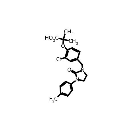 CC(C)(Oc1ccc(CN2CCN(c3ccc(C(F)(F)F)cc3)C2=O)cc1Cl)C(=O)O